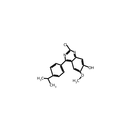 COc1cc2c(-c3ccc(C(C)C)cc3)nc(Cl)nc2cc1O